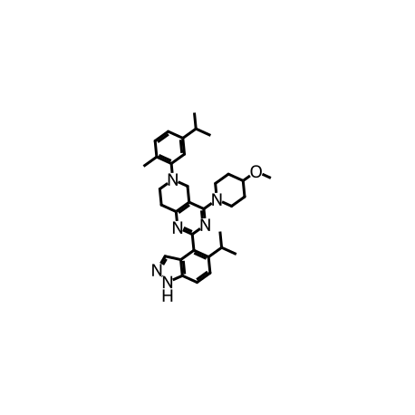 COC1CCN(c2nc(-c3c(C(C)C)ccc4[nH]ncc34)nc3c2CN(c2cc(C(C)C)ccc2C)CC3)CC1